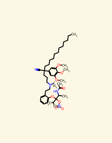 CCCCCCCCCCCCC(C#N)(CCCN(C)CCc1ccccc1OC(O[N+](=O)[O-])(C(C)C)C(C)NC(C)=O)c1cc(OC)c(OC)c(OC)c1